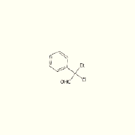 CCC(Cl)(C=O)c1ccccc1